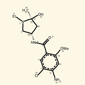 CCN1C[C@@H](NC(=O)c2cc(Cl)c(N)cc2OC)C[C@]1(C)O